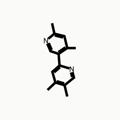 Cc1cc(C)c(-c2cc(C)c(C)cn2)cn1